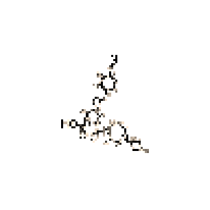 N#Cc1ccc(CO[C@H]2C[C@H](C(=O)N3CCCN(C4CCC4)CC3)N(C(=O)O)C2)cc1